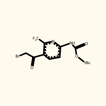 CC(C)(C)OC(=O)Nc1ccc(C(=O)CBr)c(C(F)(F)F)n1